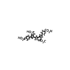 O=C(O)Cc1cc(-c2ccc(C(=O)O)cc2)sc1-c1ccc(-c2sc(-c3ccc(C(=O)O)cc3)cc2CC(=O)O)s1